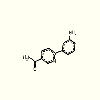 NC(=O)c1ccc(-c2cccc(N)c2)nc1